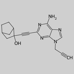 C#CCn1cnc2c(N)nc(C#CC3(O)CC4CCC3C4)nc21